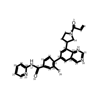 C=CC(=O)N1CCC(c2cc(-c3ccc(C(=O)Nc4ccccn4)cc3F)cc3cncnc23)C1